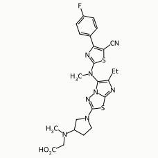 CCc1nc2sc(N3CCC(N(C)CC(=O)O)C3)nn2c1N(C)c1nc(-c2ccc(F)cc2)c(C#N)s1